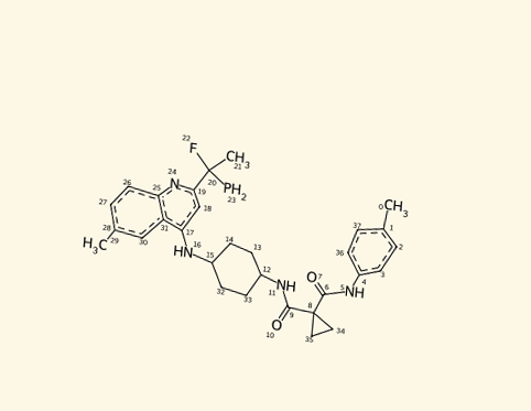 Cc1ccc(NC(=O)C2(C(=O)NC3CCC(Nc4cc(C(C)(F)P)nc5ccc(C)cc45)CC3)CC2)cc1